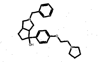 OC1(c2ccc(OCCN3CCCC3)cc2)CCC2CN(Cc3ccccc3)CC21